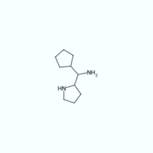 NC(C1CCCC1)C1CCCN1